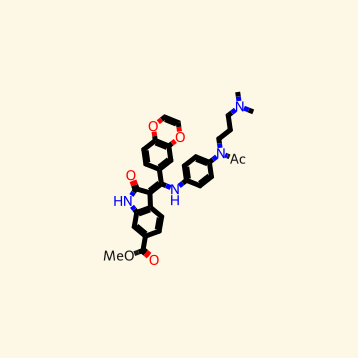 COC(=O)c1ccc2c(c1)NC(=O)C2=C(Nc1ccc(N(CCCN(C)C)C(C)=O)cc1)c1ccc2c(c1)OC=CO2